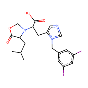 CC(C)CC1C(=O)OCN1C(Cc1cncn1Cc1cc(I)cc(I)c1)C(=O)O